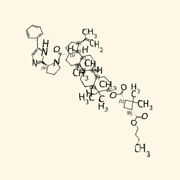 C=C(C)[C@@H]1CC[C@]2(C(=O)N3CCC[C@H]3c3ncc(-c4ccccc4)[nH]3)CC[C@]3(C)[C@H](CC[C@@H]4[C@@]5(C)CC[C@H](OC(=O)[C@H]6C[C@@H](C(=O)OCCCC)C6(C)C)C(C)(C)[C@@H]5CC[C@]43C)[C@@H]12